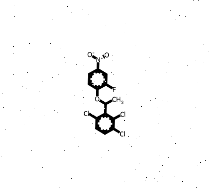 CC(Oc1ccc([N+](=O)[O-])cc1F)c1c(Cl)ccc(Cl)c1Cl